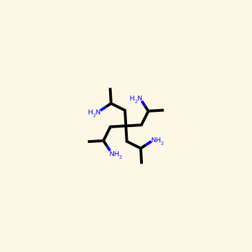 CC(N)CC(CC(C)N)(CC(C)N)CC(C)N